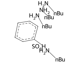 CCCCN.CCCCN.CCCCN.CCCCN.O=S(=O)(O)c1ccccc1